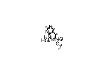 CCOC(=O)C1=Cc2cncnc2NC1.Cl